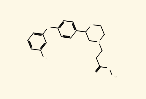 COc1cccc(Oc2ccc(C3CN(CCC(=O)OC(C)(C)C)CCO3)cc2)c1